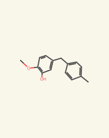 COc1ccc(Cc2ccc(C)cc2)cc1O